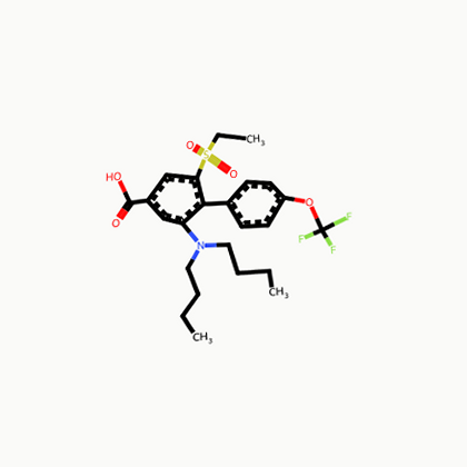 CCCCN(CCCC)c1cc(C(=O)O)cc(S(=O)(=O)CC)c1-c1ccc(OC(F)(F)F)cc1